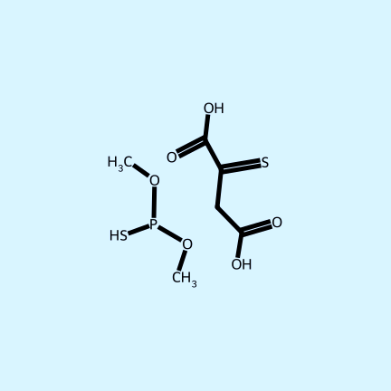 COP(S)OC.O=C(O)CC(=S)C(=O)O